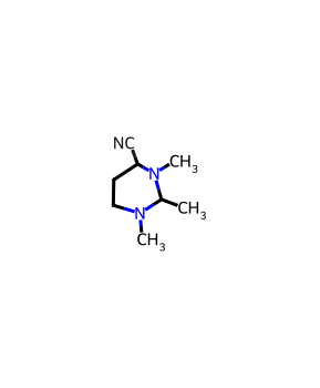 CC1N(C)CCC(C#N)N1C